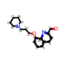 O=Cc1ccc2cccc(OCCCN3CCCCC3)c2n1